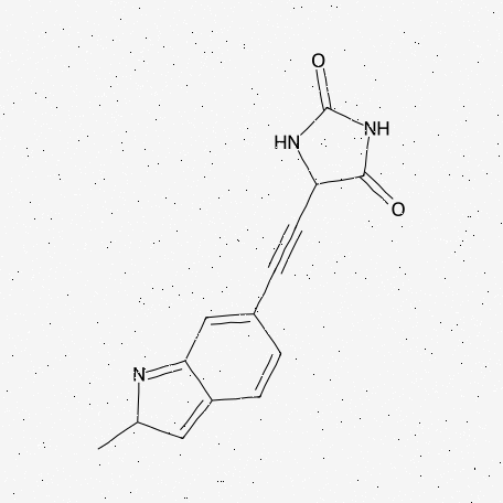 CC1C=c2ccc(C#CC3NC(=O)NC3=O)cc2=N1